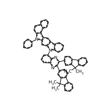 CC1(C)c2ccccc2-c2ccc(-c3nc4cccc(-n5c6ccccc6c6cc7c8c9ccccc9ccc8n(-c8ccccc8)c7cc65)c4nc3-c3ccc4c(c3)C(C)(C)c3ccccc3-4)cc21